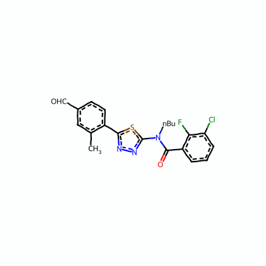 CCCCN(C(=O)c1cccc(Cl)c1F)c1nnc(-c2ccc(C=O)cc2C)s1